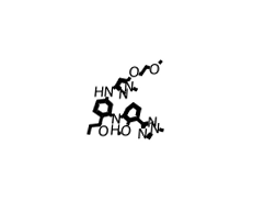 CCC(=O)c1ccc(Nc2cc(OCCOC)n(C)n2)cc1Nc1cccc(-c2ncn(C)n2)c1OC